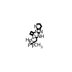 CC(C)(CC(=O)Nc1nc2cccnc2n1C1=CC=C1)C(F)(F)F